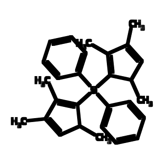 CC1=CC(C)C([Si](C2=C(C)C(C)=CC2C)(c2ccccc2)c2ccccc2)=C1C